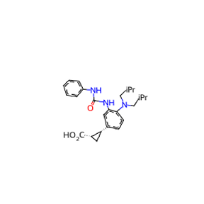 CC(C)CN(CC(C)C)c1ccc([C@@H]2C[C@@H]2C(=O)O)cc1NC(=O)Nc1ccccc1